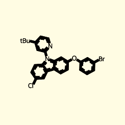 CC(C)(C)c1ccnc(-n2c3ccc(Cl)cc3c3ccc(Oc4cccc(Br)c4)cc32)c1